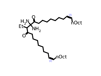 CCCCCCCC/C=C\CCCCCCCC(=O)C(CC)C(N)(N)C(=O)CCCCCCC/C=C\CCCCCCCC